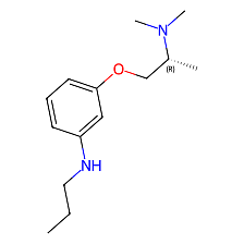 CCCNc1cccc(OC[C@@H](C)N(C)C)c1